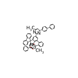 Cc1cc(-c2ccc(-c3ccccc3)cc2)nc(-c2cc(-c3ccccc3-c3cnc(-c4ccccc4)cc3C)c3c(c2)C2(c4ccccc4-c4ccccc42)c2ccccc2-3)n1